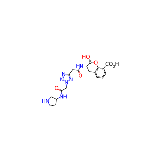 O=C(Cn1nnc(CC(=O)N[C@H]2Cc3cccc(C(=O)O)c3OB2O)n1)NC1CCNC1